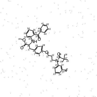 COC(=O)C(Cc1ccc(OCCCN(C(=O)C(C)(C)C)c2cccc(F)c2)cc1)Nc1ccccc1C(=O)c1ccccc1